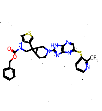 O=C(NCC1(c2ccsc2)C2CCN(c3nc4nc(Sc5cccnc5C(F)(F)F)cnc4[nH]3)CC21)OCc1ccccc1